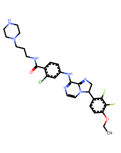 N#CCOc1ccc(C2CN=C3C(Nc4ccc(C(=O)NCCCN5CCNCC5)c(Cl)c4)=NC=CN32)c(F)c1F